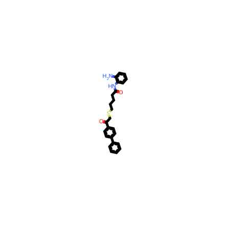 Nc1ccccc1NC(=O)CCCCSCC(=O)c1ccc(-c2ccccc2)cc1